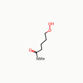 CNC(=O)CCCCOO